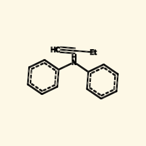 C#CCC.c1ccc(Nc2ccccc2)cc1